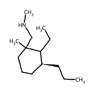 CCC[C@H]1CCCC(C)(CNC)C1CC